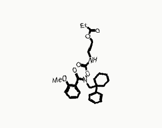 CCC(=O)OCCNC(=O)ON(CC1(c2ccccc2)CCCCC1)C(=O)c1ccccc1OC